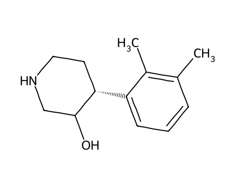 Cc1cccc([C@H]2CCNCC2O)c1C